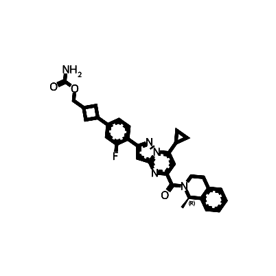 C[C@@H]1c2ccccc2CCN1C(=O)c1cc(C2CC2)n2nc(-c3ccc(C4CC(COC(N)=O)C4)cc3F)cc2n1